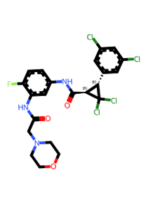 O=C(CN1CCOCC1)Nc1cc(NC(=O)[C@H]2[C@H](c3cc(Cl)cc(Cl)c3)C2(Cl)Cl)ccc1F